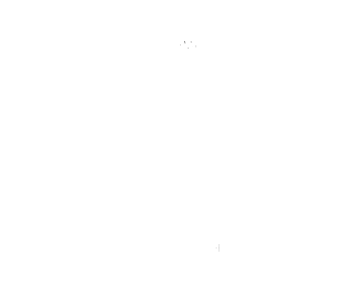 COCCC(=O)c1ccc(O)cc1